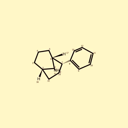 NC1[C@H]2CCC[C@@H]1[C@H](c1ccccc1)CC2